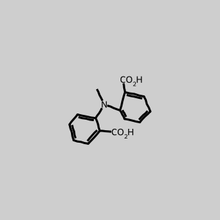 CN(c1ccccc1C(=O)O)c1ccccc1C(=O)O